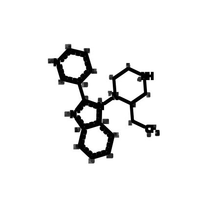 FC(F)(F)CC1CNCCN1n1c(-c2cccnc2)nc2ccccc21